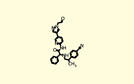 CC(CNC(C(=O)Nc1ccc(-c2cnn(CC=O)c2)cn1)c1ccccc1)c1ccc(C#N)cc1